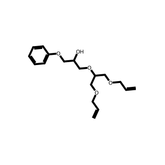 C=CCOCC(COCC=C)OCC(O)COc1ccccc1